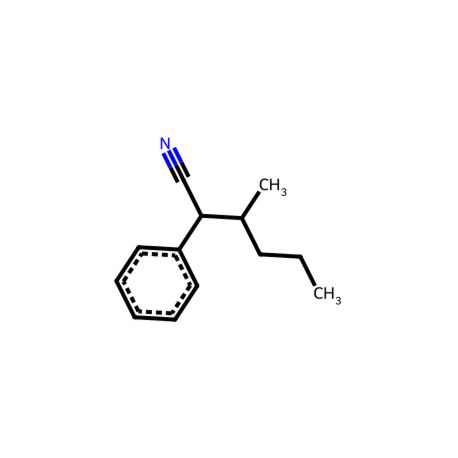 CCCC(C)C(C#N)c1ccccc1